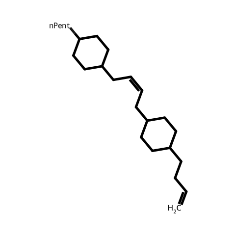 C=CCCC1CCC(C/C=C\CC2CCC(CCCCC)CC2)CC1